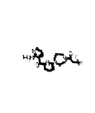 Nc1ncccc1C(=O)c1cccc(N2CCCN(C(=O)CC(F)(F)F)CC2)n1